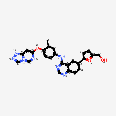 Cc1cc(Nc2ncnc3ccc(-c4ccc(CO)o4)cc23)ccc1Oc1cc2nncn2cn1